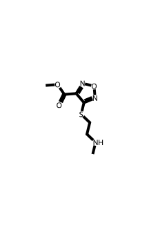 CNCCSc1nonc1C(=O)OC